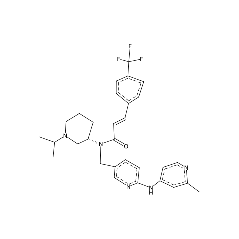 Cc1cc(Nc2ccc(CN(C(=O)/C=C/c3ccc(C(F)(F)F)cc3)[C@H]3CCCN(C(C)C)C3)cn2)ccn1